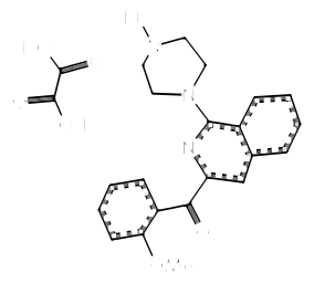 CCN1CCN(c2nc(C(=O)c3ccccc3OC)cc3ccccc23)CC1.O=C(O)C(=O)O